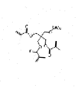 C=C(C)C(=O)OCC(COOC)(COC(=O)C(=C)C)COC(=O)C(=C)C